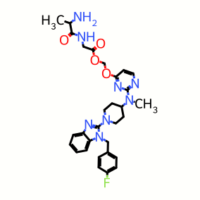 CC(N)C(=O)NCC(=O)OCOc1ccnc(N(C)C2CCN(c3nc4ccccc4n3Cc3ccc(F)cc3)CC2)n1